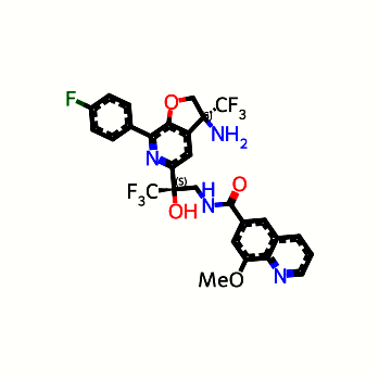 COc1cc(C(=O)NC[C@](O)(c2cc3c(c(-c4ccc(F)cc4)n2)OC[C@]3(N)C(F)(F)F)C(F)(F)F)cc2cccnc12